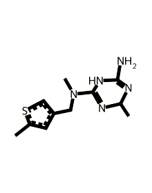 Cc1cc(CN(C)C2=NC(C)N=C(N)N2)cs1